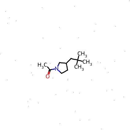 CC(=O)N1CCC(CC(C)(C)C)C1